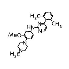 COc1cc(Nc2nccc(-c3c(C)cccc3C)n2)ccc1N1CCN(C)CC1